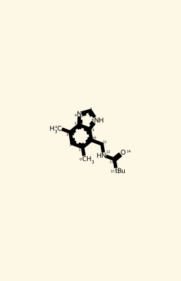 Cc1cc(C)c2nc[nH]c2c1CNC(=O)C(C)(C)C